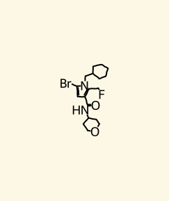 O=C(NC1CCOCC1)c1cc(Br)n(CC2CCCCC2)c1CF